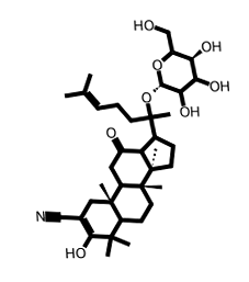 CC(C)=CCCC(C)(O[C@@H]1OC(CO)[C@@H](O)C(O)C1O)C1CC[C@]2(C)C1C(=O)CC1[C@@]3(C)CC(C#N)=C(O)C(C)(C)C3CC[C@]12C